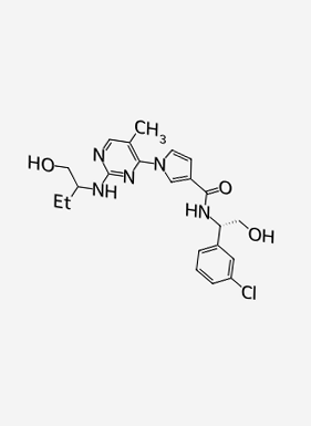 CCC(CO)Nc1ncc(C)c(-n2ccc(C(=O)N[C@H](CO)c3cccc(Cl)c3)c2)n1